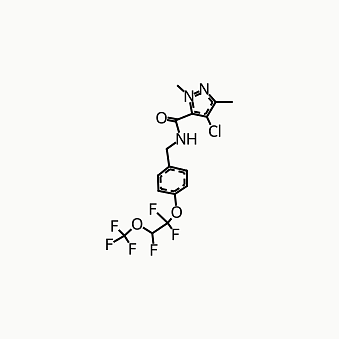 Cc1nn(C)c(C(=O)NCc2ccc(OC(F)(F)C(F)OC(F)(F)F)cc2)c1Cl